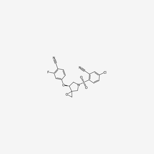 N#Cc1ccc(O[C@H]2CN(S(=O)(=O)c3ccc(Cl)cc3C#N)CC23CO3)cc1F